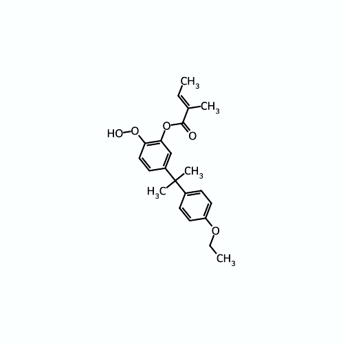 CC=C(C)C(=O)Oc1cc(C(C)(C)c2ccc(OCC)cc2)ccc1OO